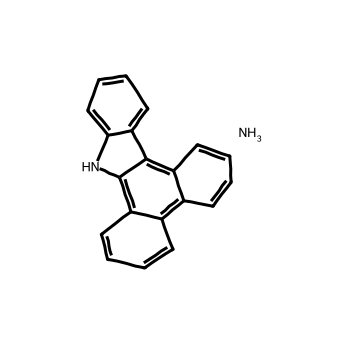 N.c1ccc2c(c1)[nH]c1c3ccccc3c3ccccc3c21